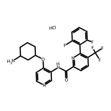 Cl.NC1CCCC(Oc2ccncc2NC(=O)c2ccc(C(F)(F)F)c(-c3c(F)cccc3F)n2)C1